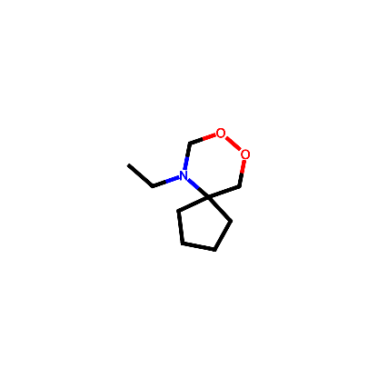 CCN1COOCC12CCCC2